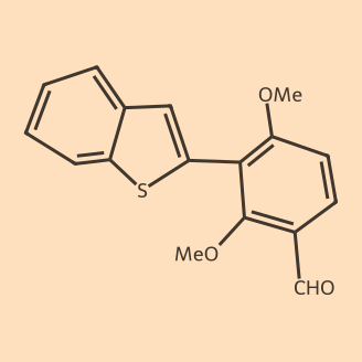 COc1ccc(C=O)c(OC)c1-c1cc2ccccc2s1